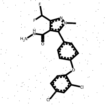 Cn1nc(C(F)F)c(C(=O)NN)c1-c1ccc(Oc2ccc(Cl)cc2Cl)cc1